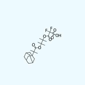 CC(C)(OC(=O)C(C)(C)C12CC3CC(CC(C3)C1)C2)C(C)(C)OC(=O)C(F)(F)S(=O)(=O)O